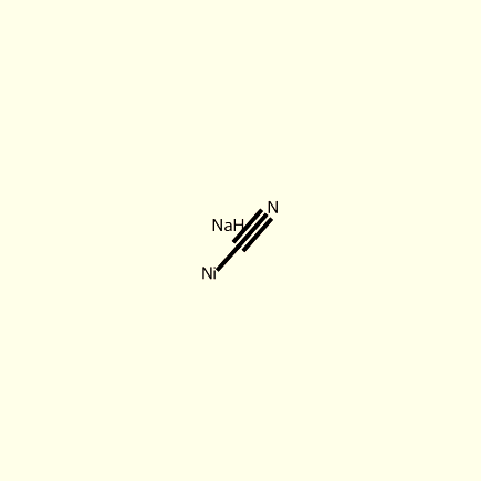 N#[C][Ni].[NaH]